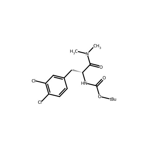 CN(C)C(=O)[C@@H](Cc1ccc(Cl)c(Cl)c1)NC(=O)OC(C)(C)C